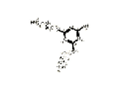 O.O.O.O.O.O.Sc1nc(S)nc(S)n1.[NaH].[NaH]